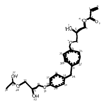 C=CC(=O)OCC(O)COc1ccc(Cc2ccc(OCC(O)COC(C)O)cc2)cc1